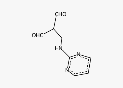 O=CC(C=O)CNc1ncccn1